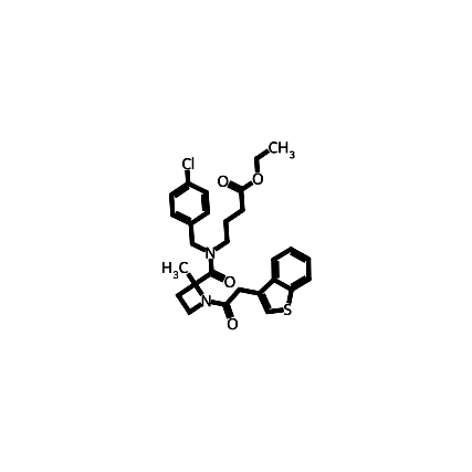 CCOC(=O)CCCN(Cc1ccc(Cl)cc1)C(=O)C1(C)CCN1C(=O)Cc1csc2ccccc12